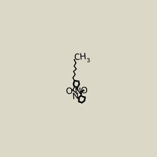 CCCCCCCCc1ccc2c(c1)C(=O)c1nc3ccccc3c(=O)n1-2